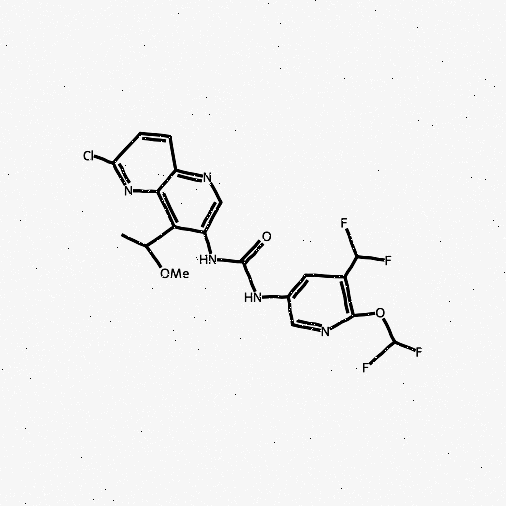 COC(C)c1c(NC(=O)Nc2cnc(OC(F)F)c(C(F)F)c2)cnc2ccc(Cl)nc12